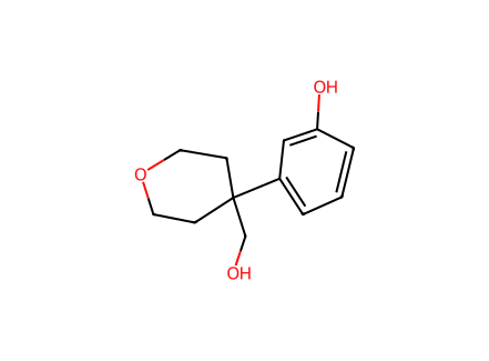 OCC1(c2cccc(O)c2)CCOCC1